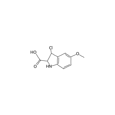 COc1ccc2c(c1)C(Cl)C(C(=O)O)N2